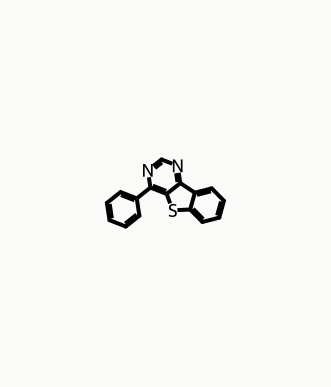 c1ccc(-c2ncnc3c2sc2ccccc23)cc1